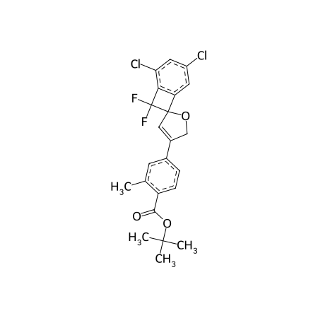 Cc1cc(C2=CC3(OC2)c2cc(Cl)cc(Cl)c2C3(F)F)ccc1C(=O)OC(C)(C)C